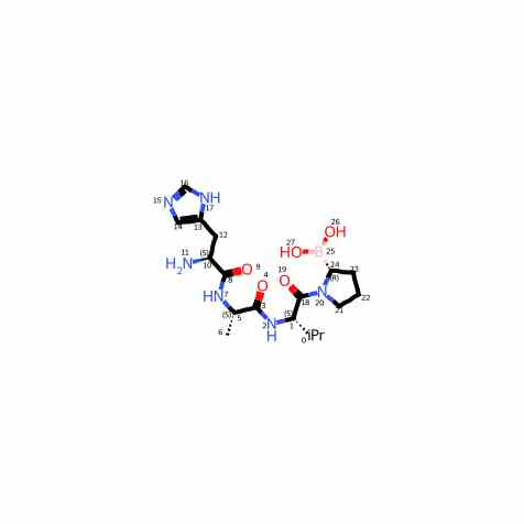 CC(C)[C@H](NC(=O)[C@H](C)NC(=O)[C@@H](N)Cc1cnc[nH]1)C(=O)N1CCC[C@H]1B(O)O